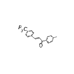 Cc1ccc(C(=O)/C=C/c2ccc(C(F)(F)F)cc2)cc1